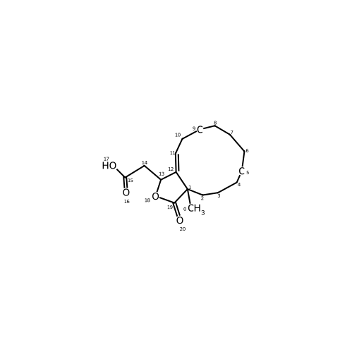 CC12CCCCCCCCCC=C1C(CC(=O)O)OC2=O